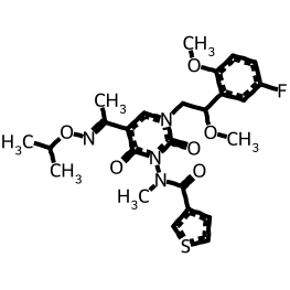 COc1ccc(F)cc1C(Cn1cc(/C(C)=N/OC(C)C)c(=O)n(N(C)C(=O)c2ccsc2)c1=O)OC